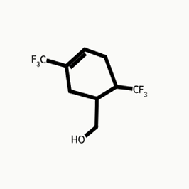 OCC1CC(C(F)(F)F)=CCC1C(F)(F)F